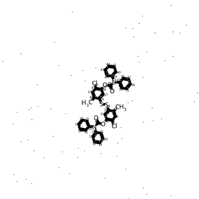 Cc1cc(Cl)c(OC(=O)N(c2ccccc2)c2ccccc2)cc1SSc1cc(OC(=O)N(c2ccccc2)c2ccccc2)c(Cl)cc1C